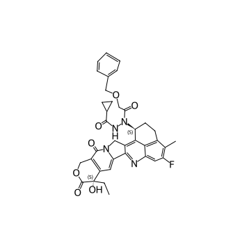 CC[C@@]1(O)C(=O)OCc2c1cc1n(c2=O)Cc2c-1nc1cc(F)c(C)c3c1c2[C@@H](N(NC(=O)C1CC1)C(=O)COCc1ccccc1)CC3